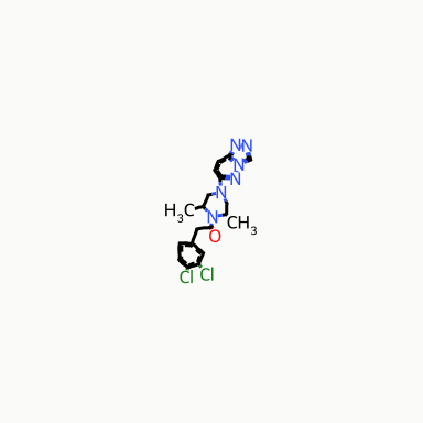 CC1CN(c2ccc3nncn3n2)CC(C)N1C(=O)Cc1ccc(Cl)c(Cl)c1